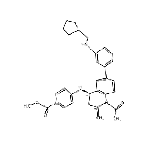 COC(=O)c1ccc(N[C@@H]2C[C@H](C)N(C(C)=O)c3ccc(-c4cccc(NCC5CCCC5)c4)cc32)cc1